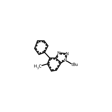 Cc1ccc2c(nnn2C(C)(C)C)c1-c1ccccc1